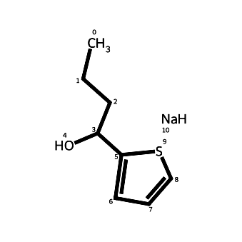 CCCC(O)c1cccs1.[NaH]